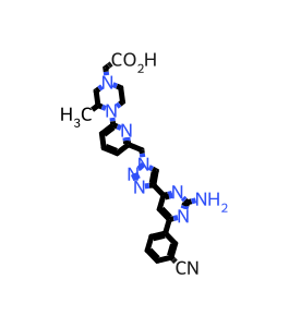 CC1CN(CC(=O)O)CCN1c1cccc(Cn2cc(-c3cc(-c4cccc(C#N)c4)nc(N)n3)nn2)n1